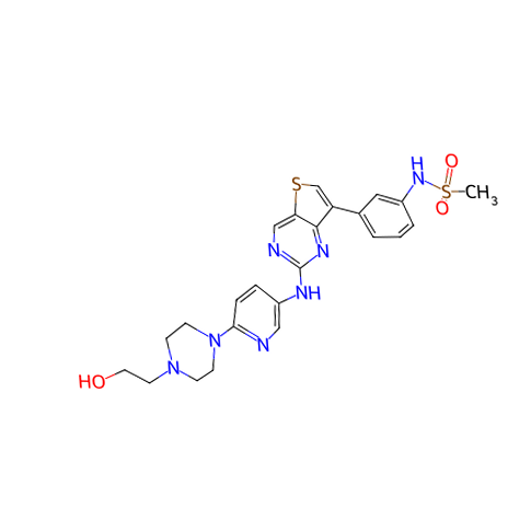 CS(=O)(=O)Nc1cccc(-c2csc3cnc(Nc4ccc(N5CCN(CCO)CC5)nc4)nc23)c1